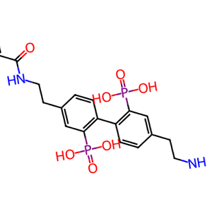 C=CC(=O)NCCc1ccc(-c2ccc(CCN)cc2P(=O)(O)O)c(P(=O)(O)O)c1